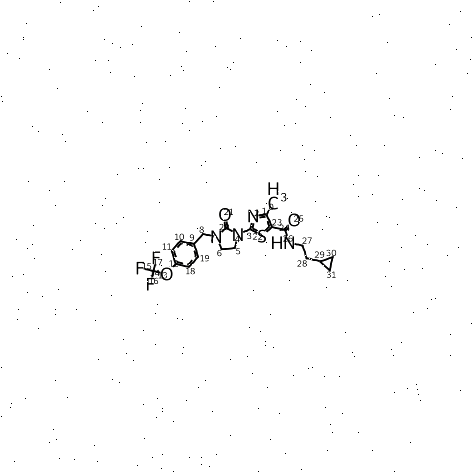 Cc1nc(N2CCN(Cc3ccc(OC(F)(F)F)cc3)C2=O)sc1C(=O)NCCC1CC1